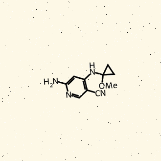 COC1(Nc2cc(N)ncc2C#N)CC1